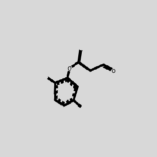 Cc1ccc(C)c(OC(C)CC=O)c1